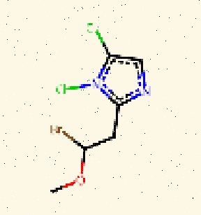 COC(Br)Cc1ncc(Cl)n1Cl